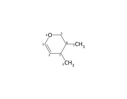 CC1C=COCC1C